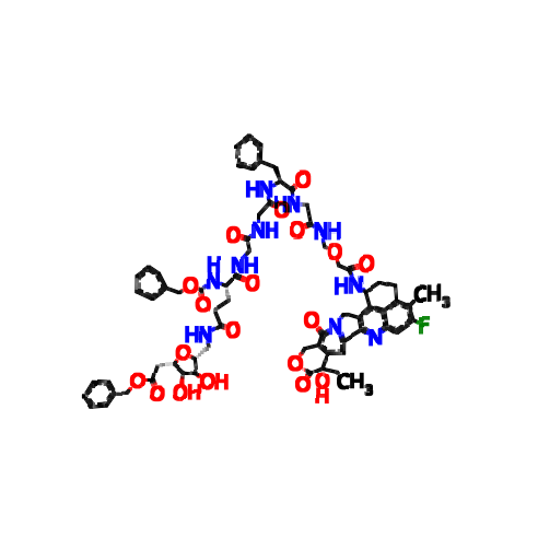 CC[C@@]1(O)C(=O)OCc2c1cc1n(c2=O)Cc2c-1nc1cc(F)c(C)c3c1c2[C@@H](NC(=O)COCNC(=O)CNC(=O)[C@H](Cc1ccccc1)NC(=O)CNC(=O)CNC(=O)[C@H](CCC(=O)NC[C@H]1O[C@@H](CC(=O)OCc2ccccc2)[C@H](O)[C@@H]1O)NC(=O)OCc1ccccc1)CC3